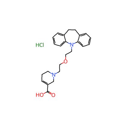 Cl.O=C(O)C1=CCCN(CCOCCN2c3ccccc3CCc3ccccc32)C1